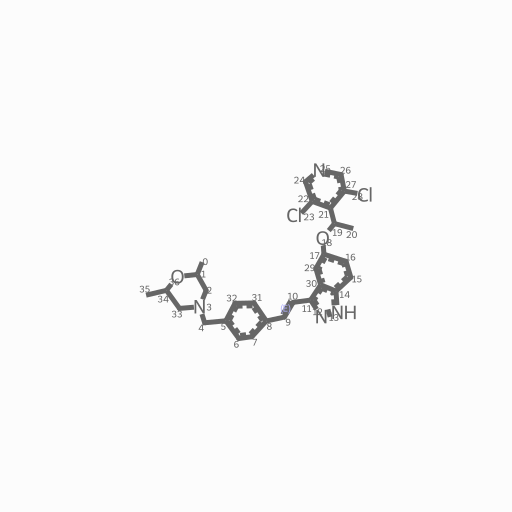 CC1CN(Cc2ccc(/C=C/c3n[nH]c4ccc(OC(C)c5c(Cl)cncc5Cl)cc34)cc2)CC(C)O1